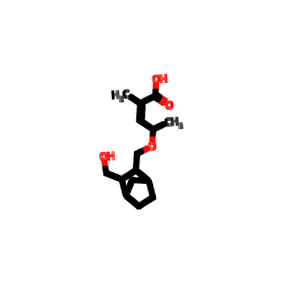 CC(=CC(C)OCC1C2CCC(C2)C1CO)C(=O)O